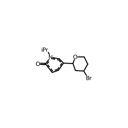 CC(C)n1cc(C2CC(Br)CCO2)ccc1=O